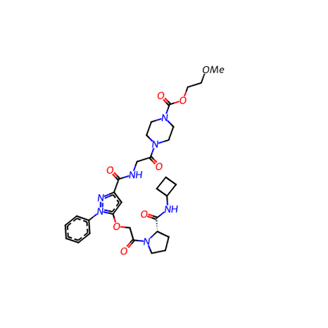 COCCOC(=O)N1CCN(C(=O)CNC(=O)c2cc(OCC(=O)N3CCC[C@H]3C(=O)NC3CCC3)n(-c3ccccc3)n2)CC1